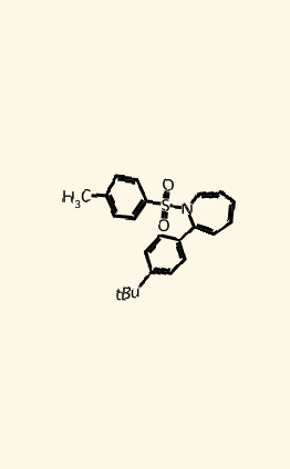 Cc1ccc(S(=O)(=O)N2C=CC=CC=C2c2ccc(C(C)(C)C)cc2)cc1